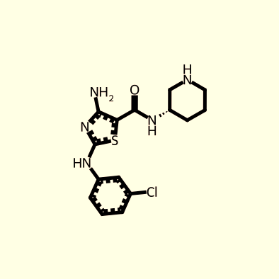 Nc1nc(Nc2cccc(Cl)c2)sc1C(=O)N[C@H]1CCCNC1